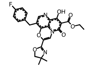 CCOC(=O)c1c(O)c2ncc(Cc3ccc(F)cc3)c3c2n(c1=O)C=C(C1=NC(C)(C)CO1)O3